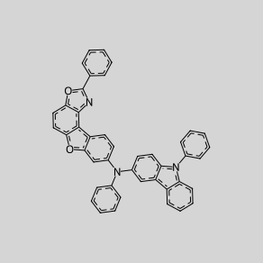 c1ccc(-c2nc3c(ccc4oc5cc(N(c6ccccc6)c6ccc7c(c6)c6ccccc6n7-c6ccccc6)ccc5c43)o2)cc1